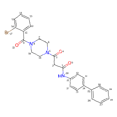 O=C(CC(=O)N1CCN(C(=O)c2ccccc2Br)CC1)Nc1ccc(-c2ccccc2)cc1